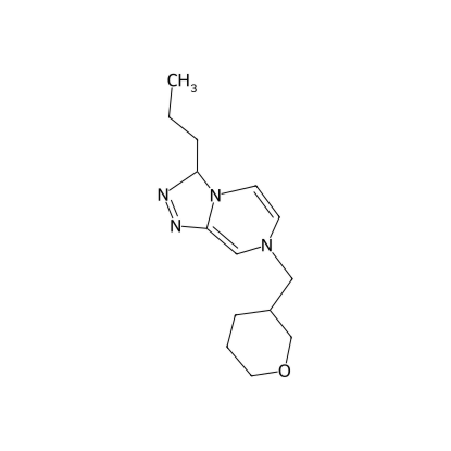 CCCC1N=NC2=CN(CC3CCCOC3)C=CN21